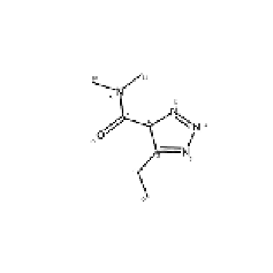 CCC1=NN=NC1C(=O)N(C)C